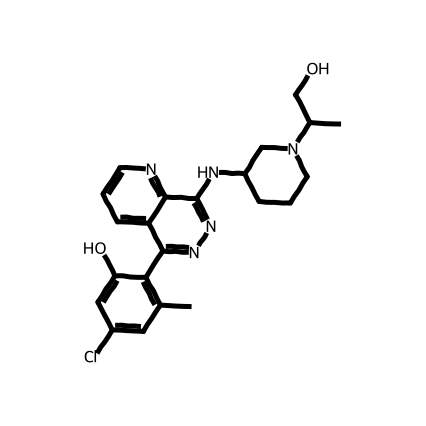 Cc1cc(Cl)cc(O)c1-c1nnc(NC2CCCN(C(C)CO)C2)c2ncccc12